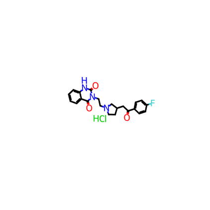 Cl.O=C(CC1CCN(CCn2c(=O)[nH]c3ccccc3c2=O)C1)c1ccc(F)cc1